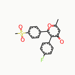 Cc1cc(=O)c(-c2ccc(F)cc2)c(-c2ccc(S(C)(=O)=O)cc2)o1